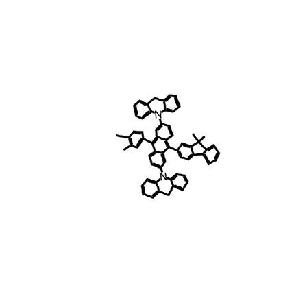 Cc1ccc(-c2c3ccc(N4c5ccccc5Cc5ccccc54)cc3c(-c3ccc4c(c3)C(C)(C)c3ccccc3-4)c3ccc(N4c5ccccc5Cc5ccccc54)cc23)cc1C